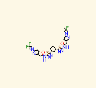 CC1(F)CN(c2ccc(CC(=O)Nc3nnc([C@H]4CCC[C@H](c5nnc(NC(=O)Cc6ccc(N7CC(F)(F)C7)nc6)s5)C4)s3)cn2)C1